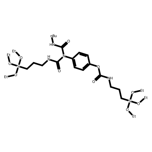 CCCCNC(=O)N(C(=O)NCCC[Si](OCC)(OCC)OCC)c1ccc(OC(=O)NCCC[Si](OCC)(OCC)OCC)cc1